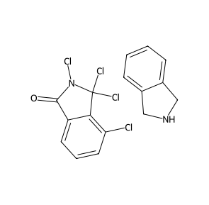 O=C1c2cccc(Cl)c2C(Cl)(Cl)N1Cl.c1ccc2c(c1)CNC2